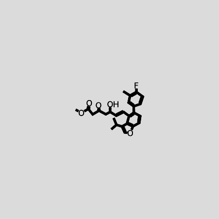 COC(=O)CC(=O)CC(O)C=Cc1c(-c2ccc(F)c(C)c2)ccc2occ(C(C)C)c12